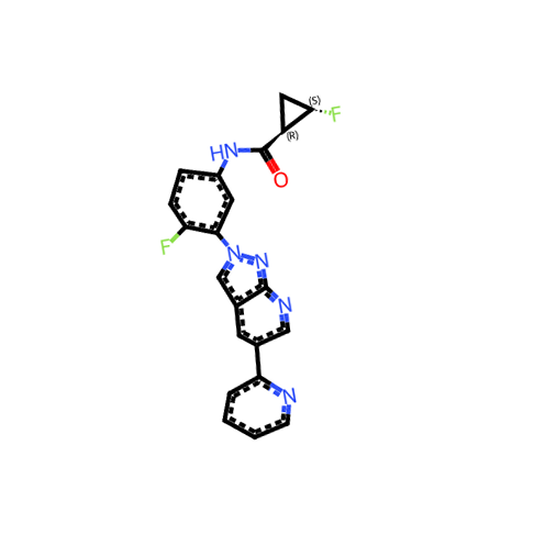 O=C(Nc1ccc(F)c(-n2cc3cc(-c4ccccn4)cnc3n2)c1)[C@H]1C[C@@H]1F